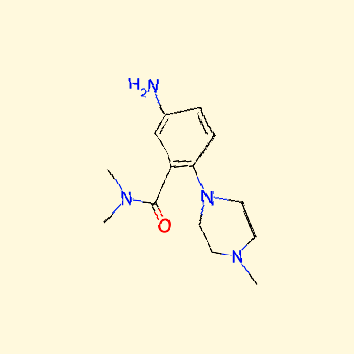 CN1CCN(c2ccc(N)cc2C(=O)N(C)C)CC1